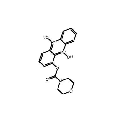 O=C(Oc1cccc2c1[n+](O)c1ccccc1[n+]2O)N1CCOCC1